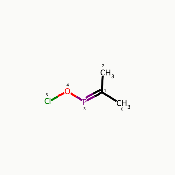 CC(C)=POCl